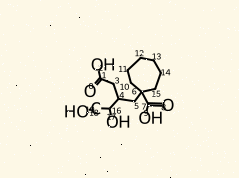 O=C(O)CC(CC1(C(=O)O)CCCCCC1)C(O)CO